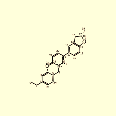 CCc1ccc(Cn2nc(-c3ccc4c(c3)C[C@H](C)O4)ccc2=O)cc1